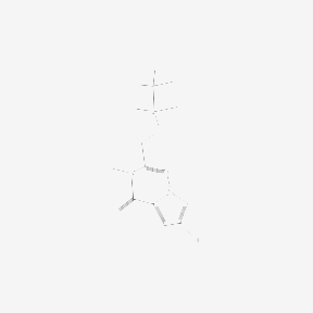 Cn1c(CO[Si](C)(C)C(C)(C)C)nn2cc(Br)cc2c1=O